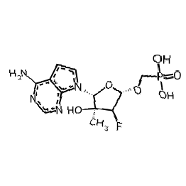 C[C@@]1(O)C(F)[C@@H](OCP(=O)(O)O)O[C@H]1n1ccc2c(N)ncnc21